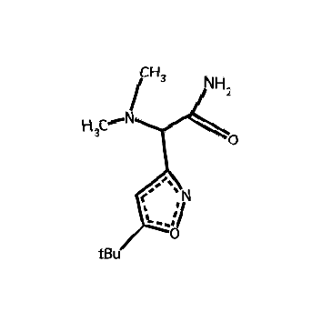 CN(C)C(C(N)=O)c1cc(C(C)(C)C)on1